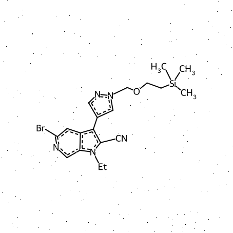 CCn1c(C#N)c(-c2cnn(COCC[Si](C)(C)C)c2)c2cc(Br)ncc21